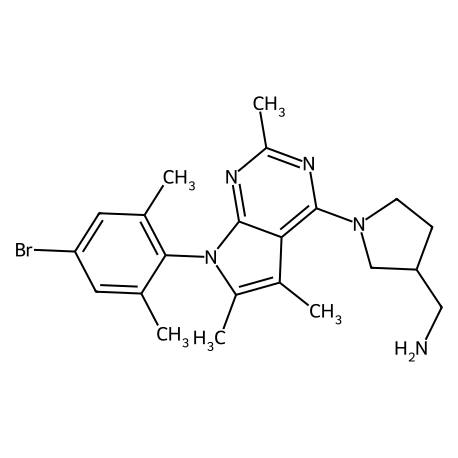 Cc1nc(N2CCC(CN)C2)c2c(C)c(C)n(-c3c(C)cc(Br)cc3C)c2n1